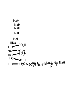 O=S(=O)(O)O.O=S(=O)(O)O.O=S(=O)(O)O.O=S(=O)(O)O.O=S(=O)(O)O.O=S(=O)(O)O.[NaH].[NaH].[NaH].[NaH].[NaH].[NaH].[NaH].[NaH].[NaH].[NaH].[NaH].[NaH].[NaH]